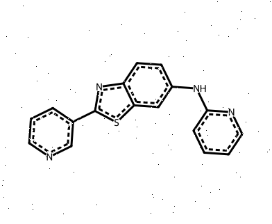 c1ccc(Nc2ccc3nc(-c4cccnc4)sc3c2)nc1